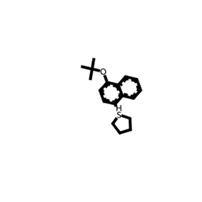 CC(C)(C)Oc1ccc([SH]2CCCC2)c2ccccc12